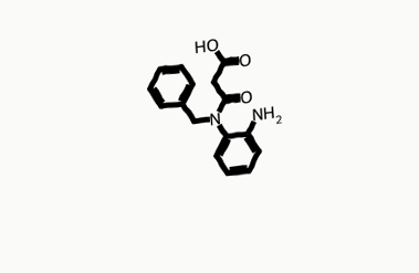 Nc1ccccc1N(Cc1ccccc1)C(=O)CC(=O)O